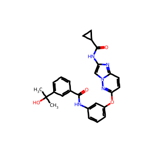 CC(C)(O)c1cccc(C(=O)Nc2cccc(Oc3ccc4nc(NC(=O)C5CC5)cn4n3)c2)c1